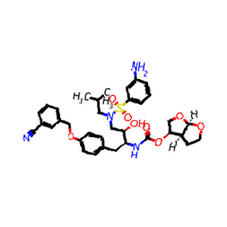 CC(C)CN(C[C@@H](O)[C@H](Cc1ccc(OCc2cccc(C#N)c2)cc1)NC(=O)O[C@H]1CO[C@H]2OCC[C@H]21)S(=O)(=O)c1cccc(N)c1